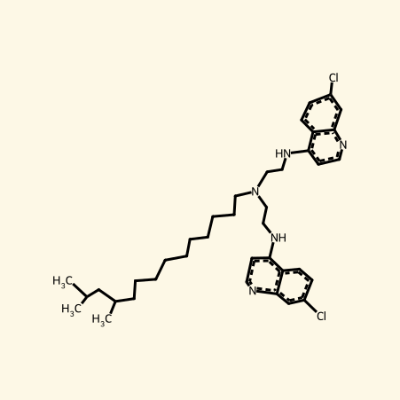 CC(C)CC(C)CCCCCCCCCCN(CCNc1ccnc2cc(Cl)ccc12)CCNc1ccnc2cc(Cl)ccc12